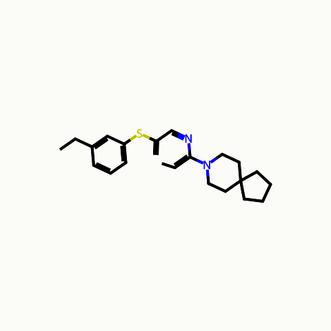 C=C(/C=N\C(=C/C)N1CCC2(CCCC2)CC1)Sc1cccc(CC)c1